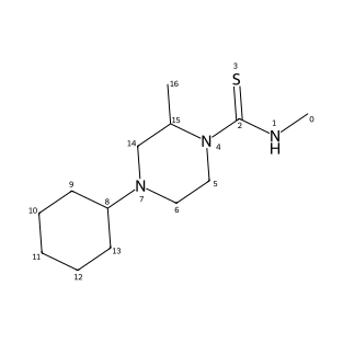 CNC(=S)N1CCN(C2CCCCC2)CC1C